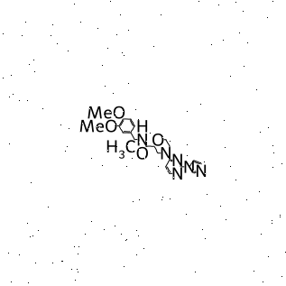 COc1ccc(C(C)NC(=O)C2CN(c3ccnc(-n4ccnc4)n3)CCO2)cc1OC